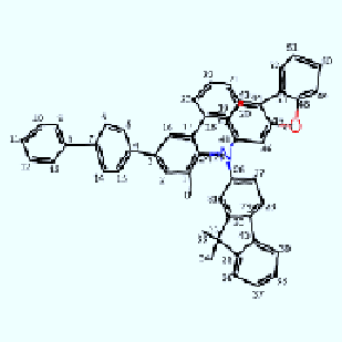 Cc1cc(-c2ccc(-c3ccccc3)cc2)cc(-c2ccccc2)c1N(c1ccc2c(c1)C(C)(C)c1ccccc1-2)c1ccc2c(c1)oc1ccccc12